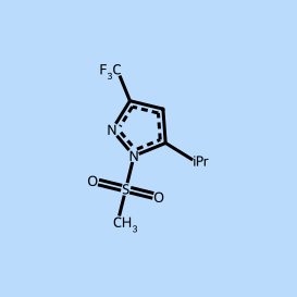 CC(C)c1cc(C(F)(F)F)nn1S(C)(=O)=O